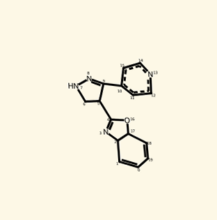 C1=CC2N=C(C3CNN=C3c3ccncc3)OC2C=C1